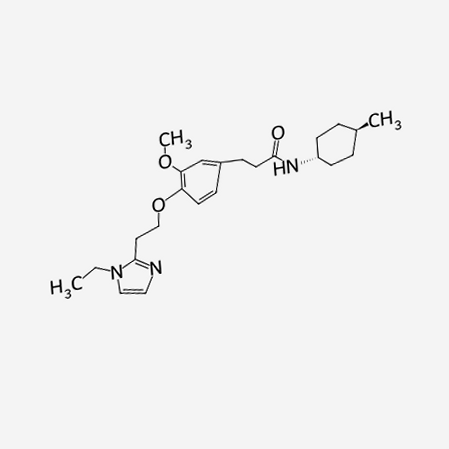 CCn1ccnc1CCOc1ccc(CCC(=O)N[C@H]2CC[C@H](C)CC2)cc1OC